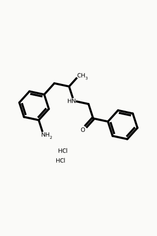 CC(Cc1cccc(N)c1)NCC(=O)c1ccccc1.Cl.Cl